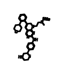 CSN(C)CCN1CC(c2ccccc2C2CCOCC2)=Cc2cnc(Nc3ccc(C4CNCCS4)cc3)nc21